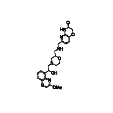 COc1cnc2cccc(C(O)CN3CCOC(CNCc4ccc5c(n4)NC(=O)CO5)C3)c2n1